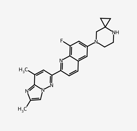 Cc1cn2nc(-c3ccc4cc(N5CCNC6(CC6)C5)cc(F)c4n3)cc(C)c2n1